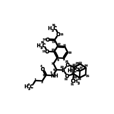 CCCC(=O)NC(Cc1cccc(C(=O)OC)c1OC)B1OC2CC3CC(C3(C)C)C2(C)O1